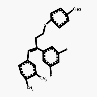 Cc1ccc(C=C(CCSc2ccc(C=O)cc2)c2cc(F)cc(F)c2)cc1C